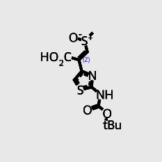 C[S+]([O-])/C=C(\C(=O)O)c1csc(NC(=O)OC(C)(C)C)n1